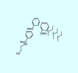 CCSC.CCSC.CCSC.COc1ccccc1.COc1ccccc1.COc1ccccc1.SCCS